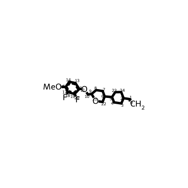 C=CC1CCC(C2CCC(COc3ccc(OC)c(F)c3F)OC2)CC1